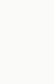 CCCCCCC(CCC(=O)O)C(CCC)CCCC